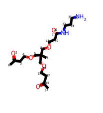 CC(=O)CCOCC(C)(COCCC(C)=O)COCCC(=O)NCCCN